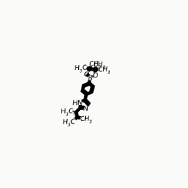 CC(C)[C@H](C)c1ncc(-c2ccc(B3OC(C)(C)C(C)(C)O3)cc2)[nH]1